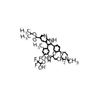 C=CC(=O)Nc1cc(-c2c(-c3ccc(N4CCN(C)CC4)cc3)[nH]c3ncc(C(=O)OC(C)C)cc23)c(C)cc1C.O=C(O)C(F)(F)F